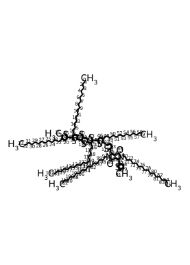 CCCCCCCCCCCCCCCCCc1c(-c2cc(CCCCCCCCCCCC)c(C)s2)sc2c1sc1c3sc(-c4cc(CCCCCCCCCCCC)c(-c5ccc(C6=C7C(=O)N(CCCCCCCCCCCCCCCC)C(c8ccc(C)s8)=C7C(=O)N6CCCCCCCCCCCCCCCC)s5)s4)c(CCCCCCCCCCCCCCCCC)c3sc21